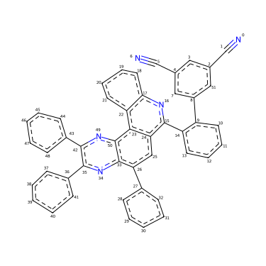 N#Cc1cc(C#N)cc(-c2ccccc2-c2nc3ccccc3c3c2cc(-c2ccccc2)c2nc(-c4ccccc4)c(-c4ccccc4)nc23)c1